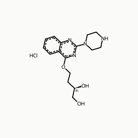 Cl.OC[C@H](O)CCOc1nc(N2CCNCC2)nc2ccccc12